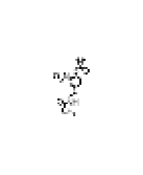 CN(C)C(=O)Sc1ccc(CCNC(=O)C(F)(F)F)cc1[N+](=O)[O-]